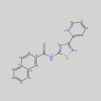 O=C(Nc1nc(-c2ccccn2)ns1)c1ccc2ccccc2c1